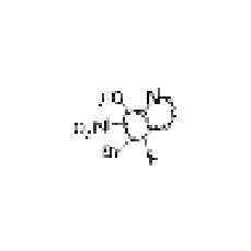 O=[N+]([O-])c1c(Br)c(F)c2cccnc2c1O